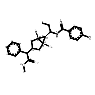 CCC(NC(=O)c1ccc(Cl)cc1)[C@H]1[C@@H]2CC(C(C(=O)OC)c3ccccc3)C[C@@H]21